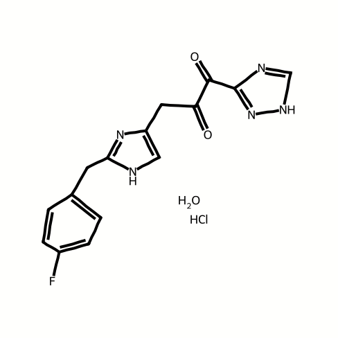 Cl.O.O=C(Cc1c[nH]c(Cc2ccc(F)cc2)n1)C(=O)c1nc[nH]n1